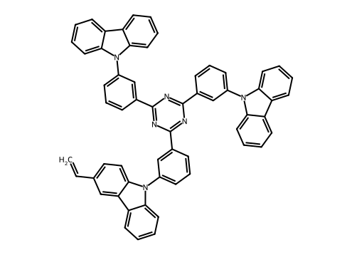 C=Cc1ccc2c(c1)c1ccccc1n2-c1cccc(-c2nc(-c3cccc(-n4c5ccccc5c5ccccc54)c3)nc(-c3cccc(-n4c5ccccc5c5ccccc54)c3)n2)c1